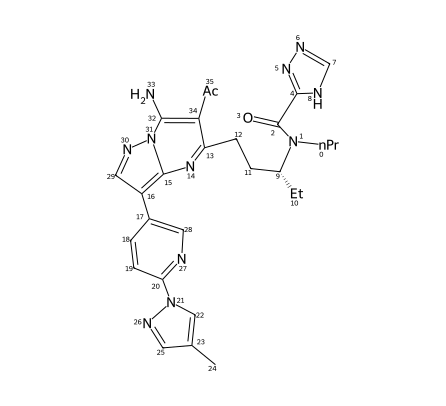 CCCN(C(=O)c1nnc[nH]1)[C@H](CC)CCc1nc2c(-c3ccc(-n4cc(C)cn4)nc3)cnn2c(N)c1C(C)=O